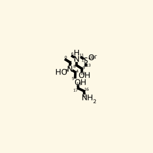 CCN(O)CC.CNCCO.C[S+](C)[O-].NCCO